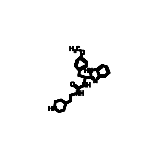 COc1ccc(CC(NC(=O)NCCC2CCNCC2)c2nc3ccccc3[nH]2)cc1